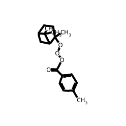 Cc1ccc(C(=O)OOOC2(C)CCC3CC2C3(C)C)cc1